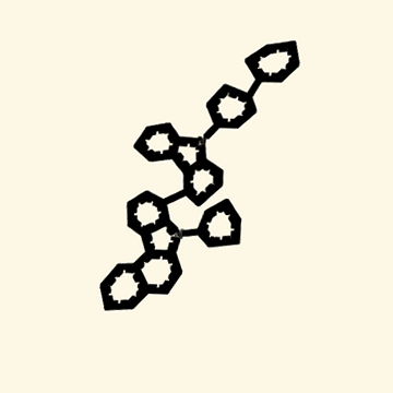 c1ccc(-c2ccc(-n3c4ccccc4c4c(-c5cccc6c7c8ccccc8ccc7n(-c7ccccc7)c56)cccc43)cc2)cc1